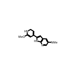 CNc1cnc2[nH]c(C3=CCNC(OC)=C3)cc2c1